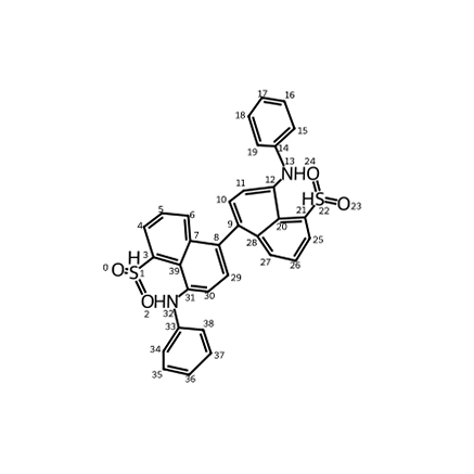 O=[SH](=O)c1cccc2c(-c3ccc(Nc4ccccc4)c4c([SH](=O)=O)cccc34)ccc(Nc3ccccc3)c12